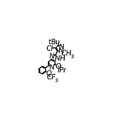 CC(C)Oc1nc(-c2ccccc2OC(F)(F)F)cc2nc(-c3c(Cl)c(C(C)(C)C)nn3C)[nH]c12